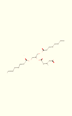 CCCCCCCC(=O)OCC(COC(=O)CCCCCCC)OC(=O)CC(C)CC(=O)O